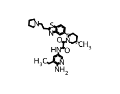 CCc1cc(NC(=O)C(=O)N2C[C@@H](C)CC[C@@H]2c2ccc3sc(CCN4CCCC4)nc3c2)cnc1N